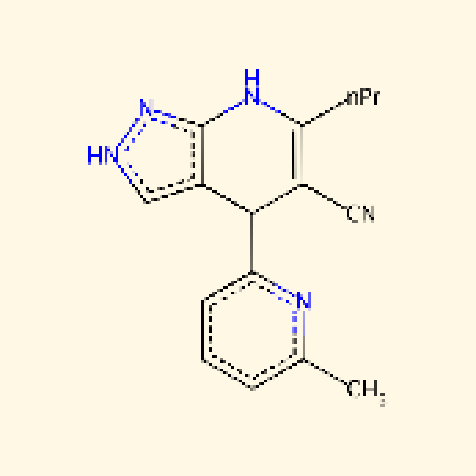 CCCC1=C(C#N)C(c2cccc(C)n2)c2c[nH]nc2N1